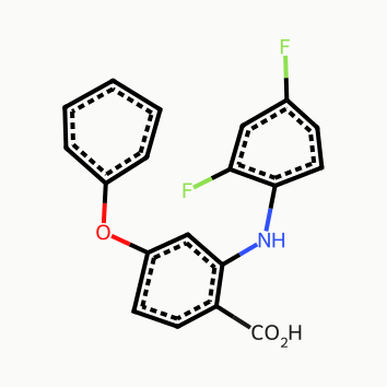 O=C(O)c1ccc(Oc2ccccc2)cc1Nc1ccc(F)cc1F